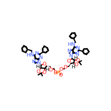 CC1(C)O[C@@H]2[C@H](O1)[C@@H](COCO[PH](=O)OCOC[C@H]1O[C@@H](n3cnc4c(NCc5ccccc5)nc(-c5ccccc5)nc43)[C@@H]3OC(C)(C)O[C@@H]31)O[C@H]2n1cnc2c(NCc3ccccc3)nc(-c3ccccc3)nc21